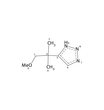 COCC(C)(C)c1cnn[nH]1